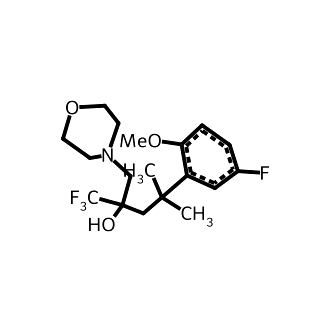 COc1ccc(F)cc1C(C)(C)CC(O)(CN1CCOCC1)C(F)(F)F